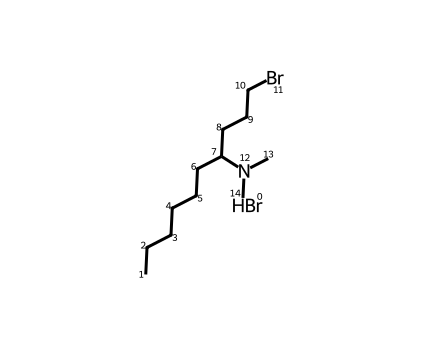 Br.CCCCCCC(CCCBr)N(C)C